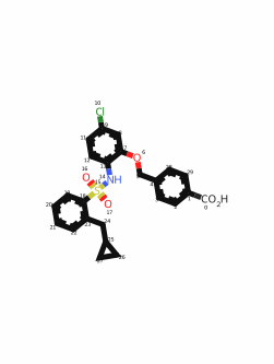 O=C(O)c1ccc(COc2cc(Cl)ccc2NS(=O)(=O)c2ccccc2CC2CC2)cc1